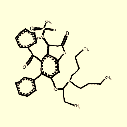 CCCCN(CCCC)C(CC)Oc1cc2c(c(C(=O)c3ccccc3)c1-c1ccccc1)C(NS(C)(=O)=O)C(=O)O2